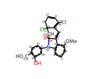 COc1cccc2c1/C(=C/C1=C(Cl)C=CCC1(C)Cl)C(=O)N2c1ccc(C(=O)O)c(O)c1